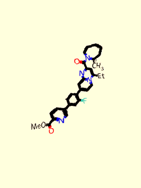 CCC1=CC(C(=O)N2CCCCC[C@H]2C)=NC2=CC(c3ccc(-c4ccc(C(=O)OC)nc4)cc3F)=CCN12